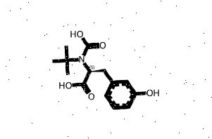 CC(C)(C)N(C(=O)O)[C@@H](Cc1cccc(O)c1)C(=O)O